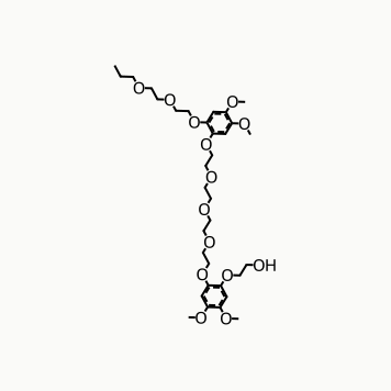 CCCOCCOCCOc1cc(OC)c(OC)cc1OCCOCCOCCOCCOc1cc(OC)c(OC)cc1OCCO